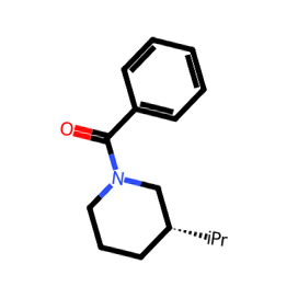 CC(C)[C@@H]1CCCN(C(=O)c2ccccc2)C1